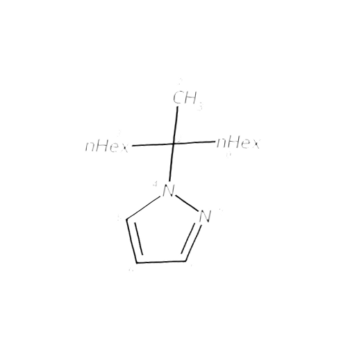 CCCCCCC(C)(CCCCCC)n1cccn1